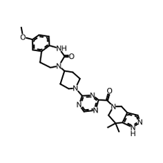 COc1ccc2c(c1)CCN(C1CCN(c3ncnc(C(=O)N4Cc5cn[nH]c5C(C)(C)C4)n3)CC1)C(=O)N2